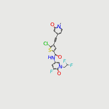 Cn1ccc(C#Cc2cc(C(=O)Nc3cc(F)c(=O)n(CC(F)F)c3)sc2Cl)cc1=O